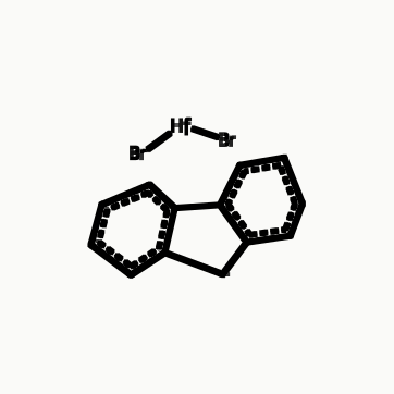 [Br][Hf][Br].[CH]1c2ccccc2-c2ccccc21